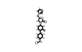 O=C1OC(Cn2ccnn2)CN1c1ccc(-c2ccc(CCl)cc2)c(F)c1